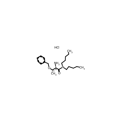 CCCCCN(CCCCC)C(=O)[C@H](N)[C@H](C)OCc1ccccc1.Cl